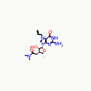 C=CC[n+]1cn([C@@H]2O[C@H](C)[C@@H](CC(=O)N(C)C)[C@H]2O)c2nc(N)[nH]c(=O)c21